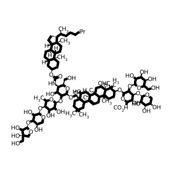 CC(C)CCC[C@@H](C)[C@H]1CC[C@H]2[C@@H]3CC[C@H]4C[C@@H](OC(=O)N[C@@H]5C(O)C(O[C@@H]6OC(C)[C@H](O[C@@H]7OC[C@@H](O)C(O[C@@H]8OC[C@@](O)(CO)C8O)C7O)C(O)C6O)[C@H](OC(=O)[C@]67CCC(C)(C)CC6C6=CCC8C9(C)CC[C@H](O[C@@H]%10OC(C(=O)O)[C@@H](O)[C@H](O[C@@H]%11OC[C@@H](O)[C@H](O)C%11O)C%10O[C@@H]%10OC(CO)[C@H](O)[C@H](O)C%10O)[C@](C)(C=O)[C@@H]9CC[C@]8(C)[C@]6(C)CC7O)O[C@@H]5CO)CC[C@]4(C)[C@H]3CC[C@]12C